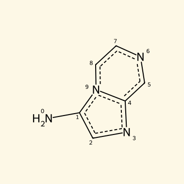 Nc1cnc2cnccn12